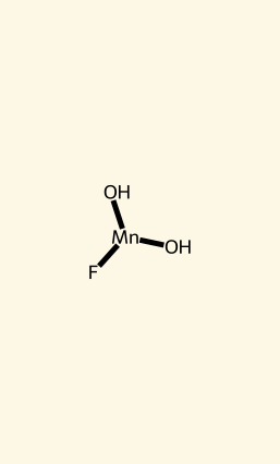 [OH][Mn]([OH])[F]